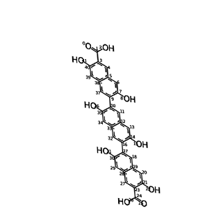 O=C(O)c1cc2cc(O)c(-c3cc4cc(O)c(-c5cc6cc(O)c(C(=O)O)cc6cc5O)cc4cc3O)cc2cc1O